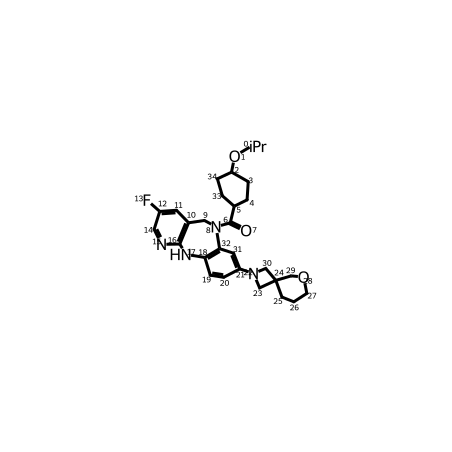 CC(C)OC1CCC(C(=O)N2Cc3cc(F)cnc3Nc3ccc(N4CC5(CCCOC5)C4)cc32)CC1